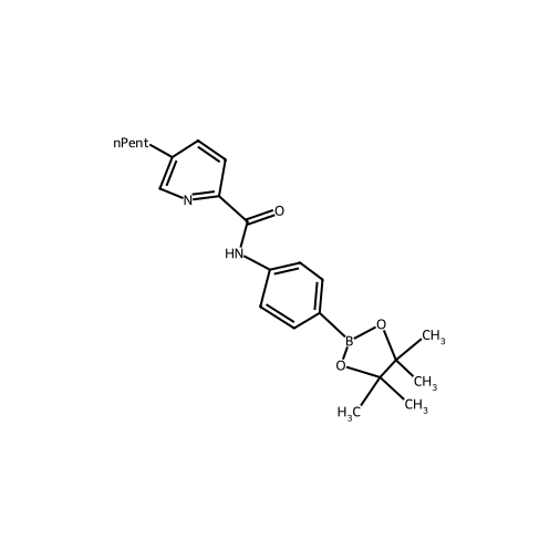 CCCCCc1ccc(C(=O)Nc2ccc(B3OC(C)(C)C(C)(C)O3)cc2)nc1